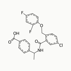 CC(NC(=O)c1cc(Cl)ccc1COc1ccc(F)cc1F)c1ccc(C(=O)O)cc1